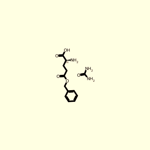 NC(N)=O.N[C@@H](CCC(=O)OCc1ccccc1)C(=O)O